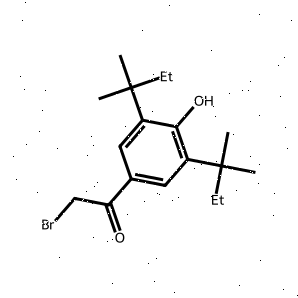 CCC(C)(C)c1cc(C(=O)CBr)cc(C(C)(C)CC)c1O